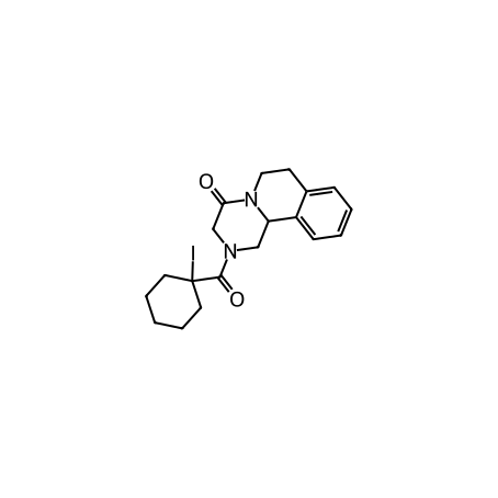 O=C1CN(C(=O)C2(I)CCCCC2)CC2c3ccccc3CCN12